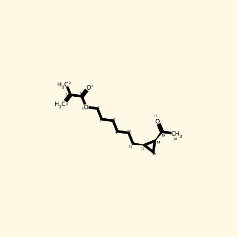 C=C(C)C(=O)OCCCCCC[C@@H]1C[C@@H]1C(C)=O